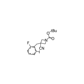 CC(C)(C)OC(=O)N1CC(C#N)(Cc2c(F)cccc2I)C1